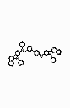 CN(c1ccc(-c2cccc(CN(c3ccccc3)c3ccc4c5ccc6ccccc6c5n(-c5ccccc5)c4c3)c2)cc1)c1ccc2c3ccc4ccccc4c3n(-c3ccccc3)c2c1